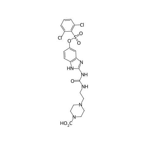 O=C(NCCN1CCN(C(=O)O)CC1)Nc1nc2cc(OS(=O)(=O)c3c(Cl)cccc3Cl)ccc2[nH]1